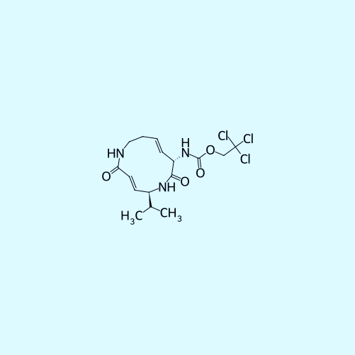 CC(C)[C@H]1/C=C/C(=O)NCC/C=C/[C@H](NC(=O)OCC(Cl)(Cl)Cl)C(=O)N1